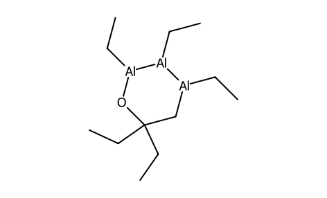 C[CH2][Al]1[CH2]C(CC)(CC)[O][Al]([CH2]C)[Al]1[CH2]C